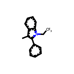 Cc1c(-c2ccccc2)n(CC(F)(F)F)c2ccccc12